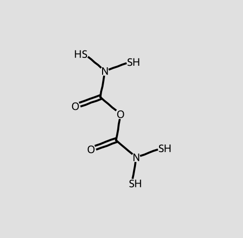 O=C(OC(=O)N(S)S)N(S)S